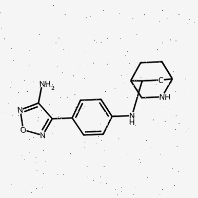 Nc1nonc1-c1ccc(NC2CC3CCC2CN3)cc1